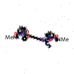 C=C(/C=C\C=C/C)[C@@H](COCCCCCCCCOC[C@@H](NC(=O)[C@H]1N2C(=O)[C@@H](NC(=O)[C@H](C)NC)CCS[C@H]2CC1(C)C)c1ccccc1)NC(=O)[C@H]1N2C(=O)[C@@H](NC(=O)[C@H](C)NC)CCS[C@H]2CC1(C)C